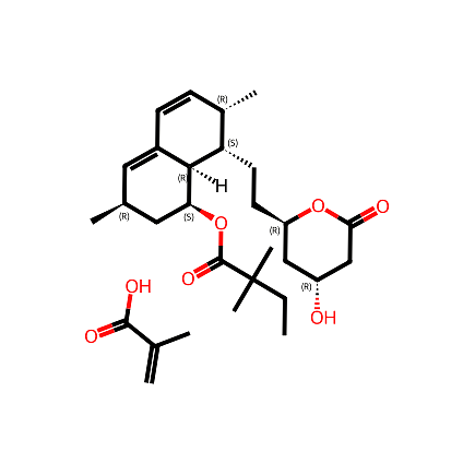 C=C(C)C(=O)O.CCC(C)(C)C(=O)O[C@H]1C[C@@H](C)C=C2C=C[C@H](C)[C@H](CC[C@@H]3C[C@@H](O)CC(=O)O3)[C@H]21